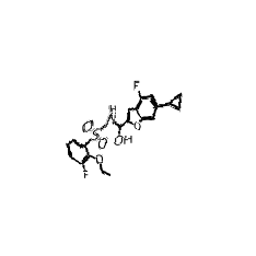 CCOc1c(F)cccc1S(=O)(=O)NC(O)c1cc2c(F)cc(C3CC3)cc2o1